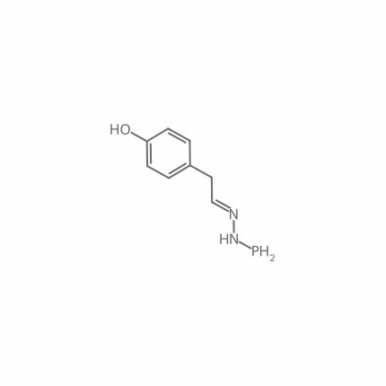 Oc1ccc(C/C=N/NP)cc1